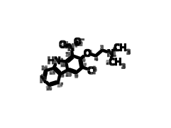 CN(C)CCOc1c(Cl)cc2c([nH]c3cnccc32)c1[N+](=O)[O-]